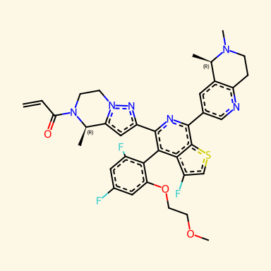 C=CC(=O)N1CCn2nc(-c3nc(-c4cnc5c(c4)[C@@H](C)N(C)CC5)c4scc(F)c4c3-c3c(F)cc(F)cc3OCCOC)cc2[C@H]1C